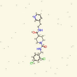 O=C(NCCc1cccnc1)C1CCN(C(=O)NCc2ccc(Cl)cc2Cl)CC1